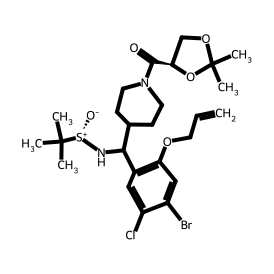 C=CCOc1cc(Br)c(Cl)cc1C(N[S@@+]([O-])C(C)(C)C)C1CCN(C(=O)[C@H]2COC(C)(C)O2)CC1